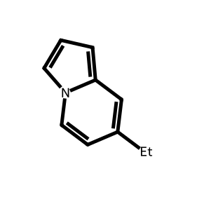 CCc1ccn2cccc2c1